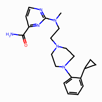 CN(CCN1CCN(c2ccccc2C2CC2)CC1)c1nccc(C(N)=O)n1